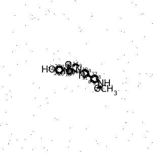 CC(=O)Nc1ccc(-c2ccc(N3CCC[C@@]4(CCN(C5CCC(O)CC5)C4=O)C3)nc2)cc1